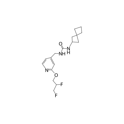 O=C(NCc1ccnc(OCC(F)CF)c1)NC1CC2(CCC2)C1